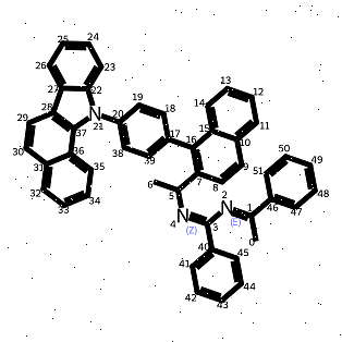 C/C(=N\C(=N/C(C)c1ccc2ccccc2c1-c1ccc(-n2c3ccccc3c3ccc4ccccc4c32)cc1)c1ccccc1)c1ccccc1